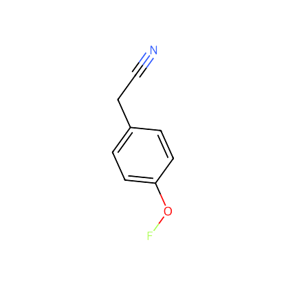 N#CCc1ccc(OF)cc1